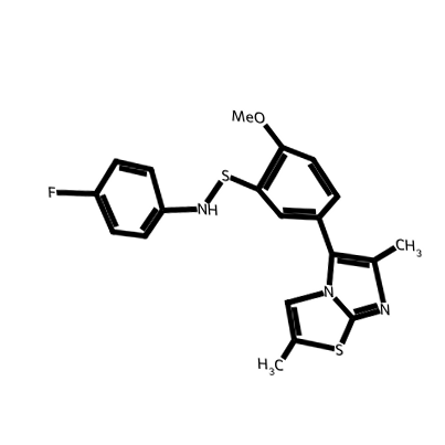 COc1ccc(-c2c(C)nc3sc(C)cn23)cc1SNc1ccc(F)cc1